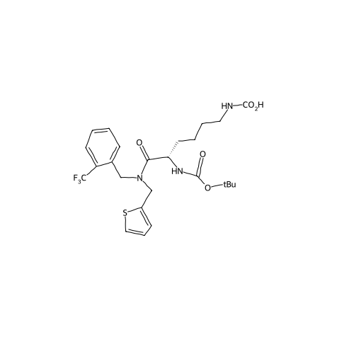 CC(C)(C)OC(=O)N[C@@H](CCCCNC(=O)O)C(=O)N(Cc1cccs1)Cc1ccccc1C(F)(F)F